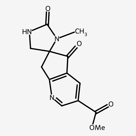 COC(=O)c1cnc2c(c1)C(=O)C1(CNC(=O)N1C)C2